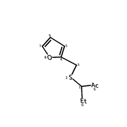 CCC(SCc1ccco1)C(C)=O